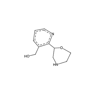 OCc1cccnc1C1CNCCO1